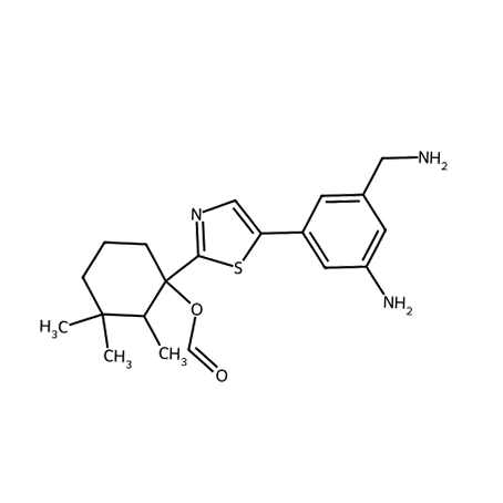 CC1C(C)(C)CCCC1(OC=O)c1ncc(-c2cc(N)cc(CN)c2)s1